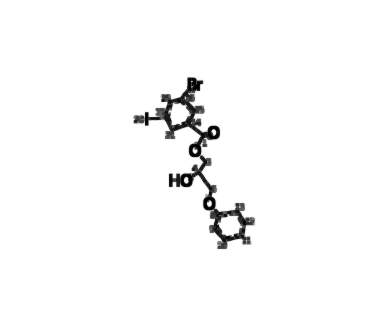 O=C(OCC(O)COc1ccccc1)c1cc(Br)cc(I)c1